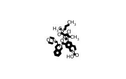 CCCCN(C)C(=O)c1nn(-c2cc3c(cc2C(=O)N2Cc4ccccc4C[C@H]2CN2CCOCC2)CN(C(=O)O)CC3)c(C)c1Cl